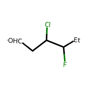 CCC(F)C(Cl)C[C]=O